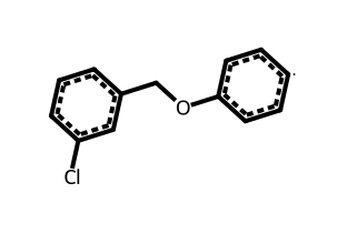 Clc1cccc(COc2cc[c]cc2)c1